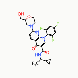 O=C(N[C@@H](C1CC1)C(F)(F)F)c1cn(-c2c(F)cc(F)cc2F)c2nc(N3CCOC(CO)C3)ccc2c1=O